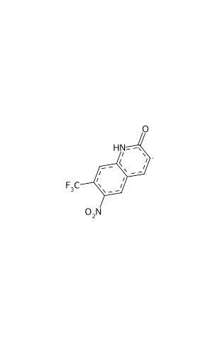 O=c1[c]cc2cc([N+](=O)[O-])c(C(F)(F)F)cc2[nH]1